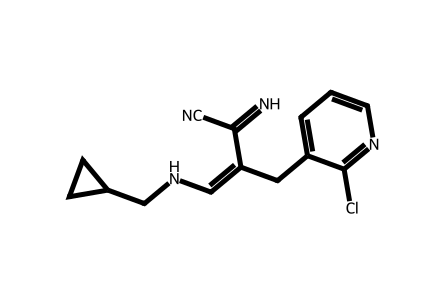 N#CC(=N)/C(=C\NCC1CC1)Cc1cccnc1Cl